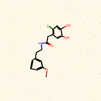 COc1cccc(CCNC(=O)Cc2cc(O)c(O)cc2Cl)c1